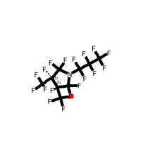 FC(F)(F)C(F)(F)C(F)(F)N1C(F)(F)[C@](F)(C(F)(F)F)[C@@](F)(C(F)(F)F)C1(F)F